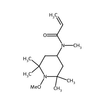 C=CC(=O)N(C)C1CC(C)(C)N(OC)C(C)(C)C1